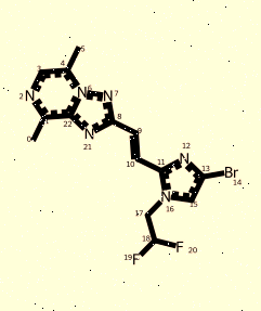 Cc1ncc(C)n2nc(C=Cc3nc(Br)cn3CC(F)F)nc12